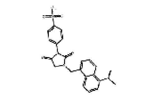 CN(C)c1cccc2c(CN3CC(=O)N(c4ccc(S(=O)(=O)C(F)(F)F)cc4)C3=O)ccnc12